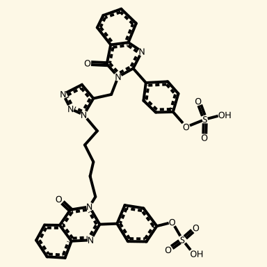 O=c1c2ccccc2nc(-c2ccc(OS(=O)(=O)O)cc2)n1CCCCCn1nncc1Cn1c(-c2ccc(OS(=O)(=O)O)cc2)nc2ccccc2c1=O